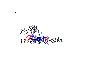 COCCOc1ncc(F)c(Nc2n[nH]c3c2CN(C(=O)N2CCN(C)C(C)(C)C2)C3(C)C)n1